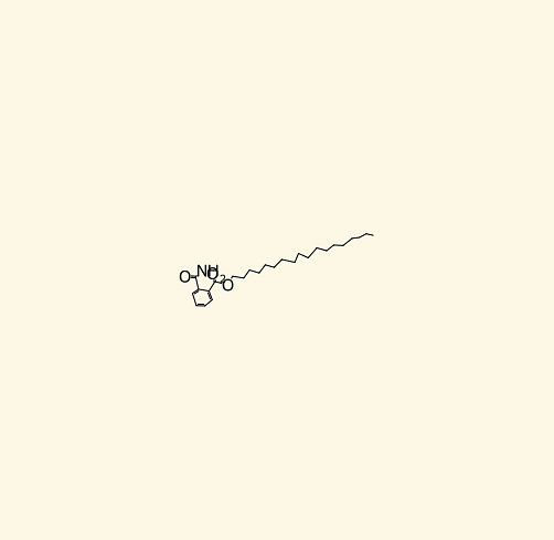 CCCCCCCCCCCCCCCCCCOC(=O)c1ccccc1C(N)=O